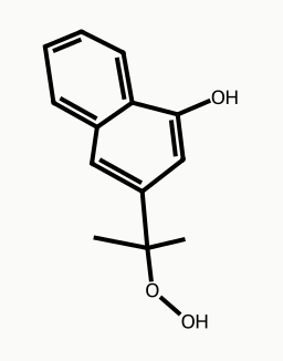 CC(C)(OO)c1cc(O)c2ccccc2c1